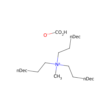 CCCCCCCCCCCC[N+](C)(CCCCCCCCCCCC)CCCCCCCCCCCC.O=C([O-])O